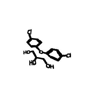 Clc1ccc(Oc2ccc(Cl)cc2)cc1.OCC(O)CO